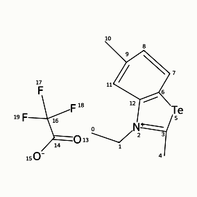 CC[n+]1c(C)[te]c2ccc(C)cc21.O=C([O-])C(F)(F)F